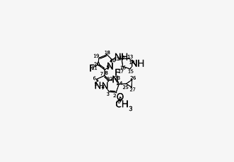 COc1cn2ncc(-c3nc(N[C@H]4CNC[C@@H]4F)ccc3F)c2nc1C1CC1